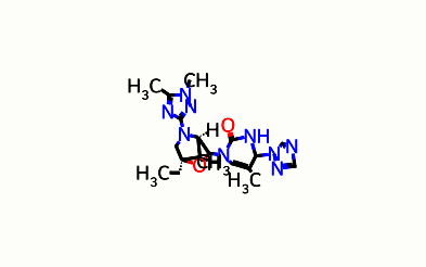 CC[C@@]12CN(c3nc(C)n(C)n3)[C@@H](C(N3C=C(C)C(n4cncn4)NC3=O)O1)[C@@H]2C